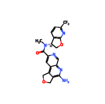 CN(C(=O)c1cc2c3c(c(N)nc2cn1)COC3)[C@H]1COc2nc(C(F)(F)F)ccc21